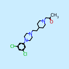 CC(=O)CN1CCC(CCN2CCN(c3cc(Cl)cc(Cl)c3)CC2)CC1